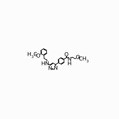 COCCNC(=O)c1ccc(-c2cc(NCCc3ccccc3OC)ncn2)cc1